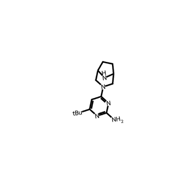 CC(C)(C)c1cc(N2CC3CCC(C2)N3)nc(N)n1